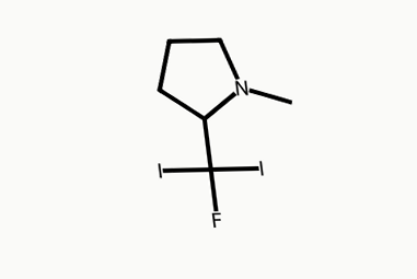 CN1CCCC1C(F)(I)I